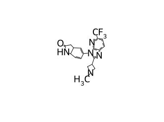 CN1CC(c2nc3ccc(C(F)(F)F)nc3n2C2=CC3CC(=O)NC3C=C2)C1